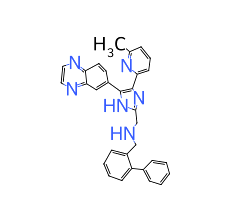 Cc1cccc(-c2nc(CNCc3ccccc3-c3ccccc3)[nH]c2-c2ccc3nccnc3c2)n1